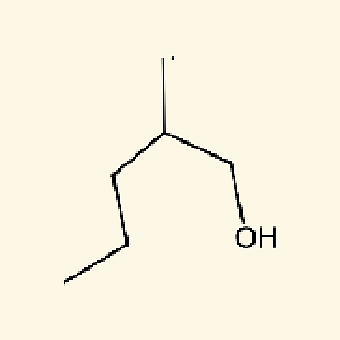 [CH2]C(CO)CCC